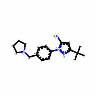 CC(C)(C)c1cc(N)n(-c2ccc(CN3CCCC3)cc2)n1